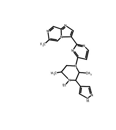 CCN1C(C)CN(c2ccnc(-c3cnc4cnc(C(F)(F)F)cn34)n2)C(C)C1c1cn[nH]c1